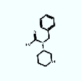 O=C(O)N(Cc1ccccc1)[C@@H]1CCCNC1